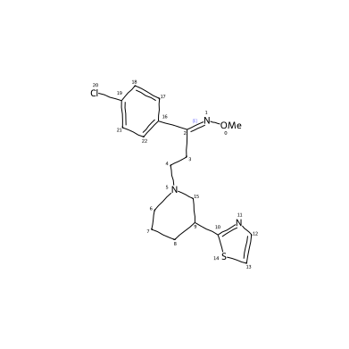 CO/N=C(\CCN1CCCC(c2nccs2)C1)c1ccc(Cl)cc1